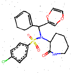 O=C1NCCCCC1N(C(C1=CC=CCC1)C1=COC=CO1)S(=O)(=O)c1ccc(Cl)cc1